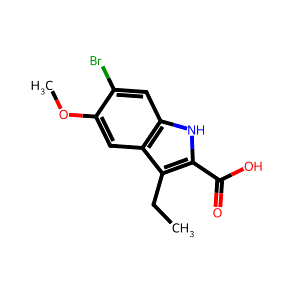 CCc1c(C(=O)O)[nH]c2cc(Br)c(OC)cc12